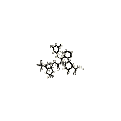 NC(=O)c1cc(-c2cccnc2[C@H](Cc2cc(F)cc(F)c2)NC(=O)Cn2nc(C(F)(F)F)c3c2CC(F)(F)C3)ccc1F